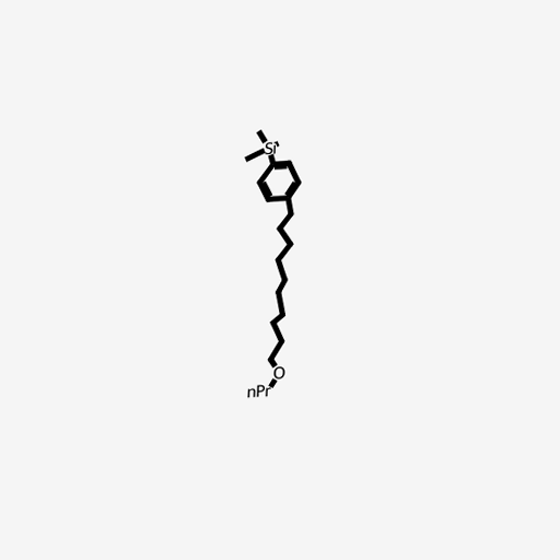 CCCOCCCCCCCCCCc1ccc([Si](C)(C)C)cc1